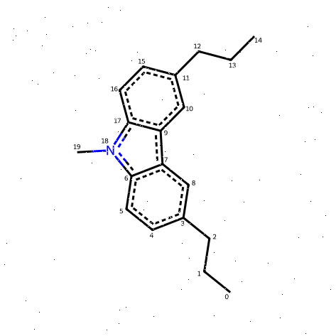 CCCc1ccc2c(c1)c1cc(CCC)ccc1n2C